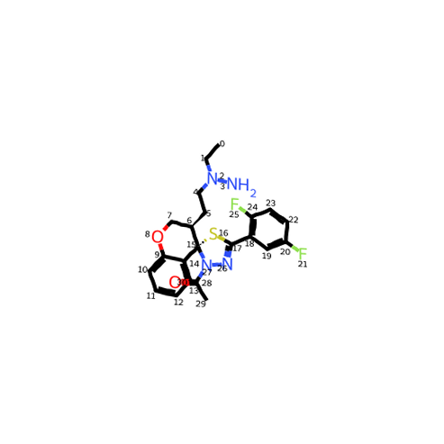 CCN(N)CC[C@@H]1COc2ccccc2[C@@]12SC(c1cc(F)ccc1F)=NN2C(C)=O